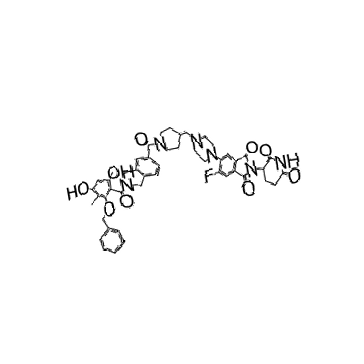 Cc1c(O)cc(O)c(C(=O)N2Cc3ccc(C(=O)N4CCC(CN5CCN(c6cc7c(cc6F)C(=O)N(C6CCC(=O)NC6=O)C7=O)CC5)CC4)cc3C2)c1OCc1ccccc1